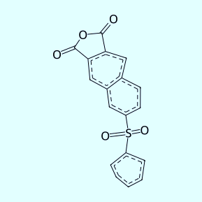 O=C1OC(=O)c2cc3cc(S(=O)(=O)c4ccccc4)ccc3cc21